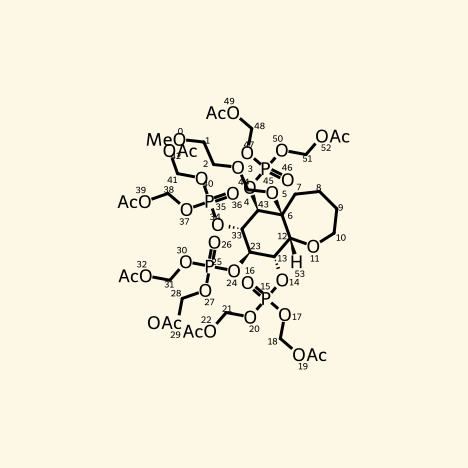 COCCOCO[C@@]12CCCCO[C@@H]1[C@H](OP(=O)(OCOC(C)=O)OCOC(C)=O)[C@@H](OP(=O)(OCOC(C)=O)OCOC(C)=O)[C@H](OP(=O)(OCOC(C)=O)OCOC(C)=O)[C@H]2OP(=O)(OCOC(C)=O)OCOC(C)=O